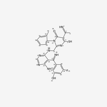 CC(=N)c1c(S)nc(CNc2ncnc(N)c2C(=N)c2cc(O)cc(F)c2)n(-c2ccccc2C)c1=O